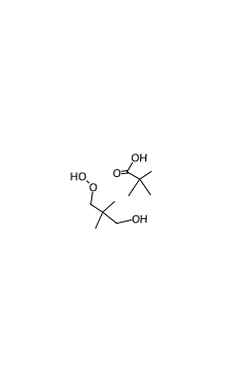 CC(C)(C)C(=O)O.CC(C)(CO)COO